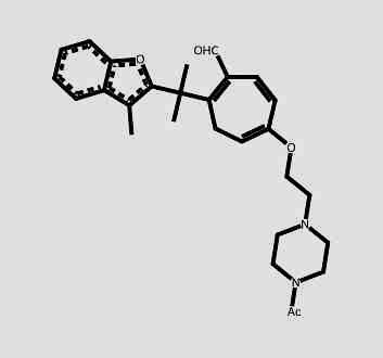 CC(=O)N1CCN(CCOC2=CCC(C(C)(C)c3oc4ccccc4c3C)=C(C=O)C=C2)CC1